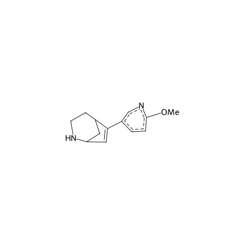 COc1ccc(C2=CC3CC2CCN3)cn1